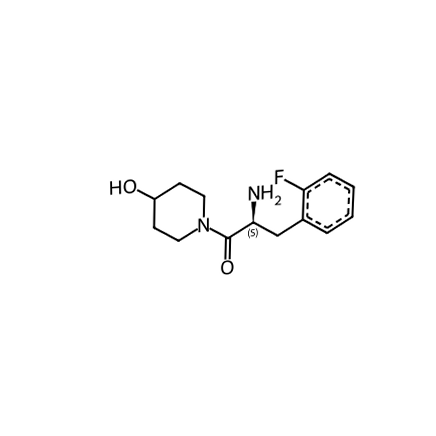 N[C@@H](Cc1ccccc1F)C(=O)N1CCC(O)CC1